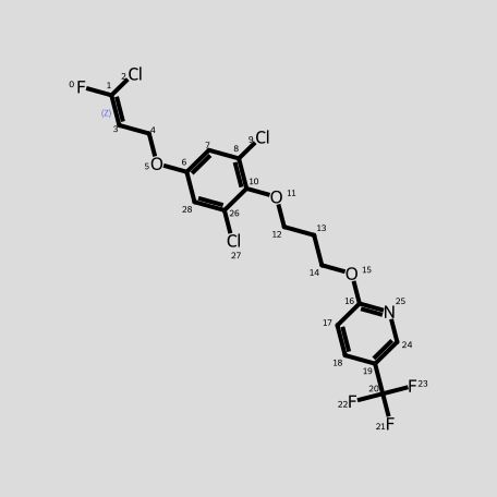 F/C(Cl)=C/COc1cc(Cl)c(OCCCOc2ccc(C(F)(F)F)cn2)c(Cl)c1